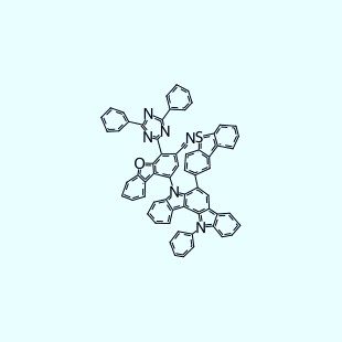 N#Cc1cc(-n2c3ccccc3c3c2c(-c2ccc4sc5ccccc5c4c2)cc2c4ccccc4n(-c4ccccc4)c23)c2c(oc3ccccc32)c1-c1nc(-c2ccccc2)nc(-c2ccccc2)n1